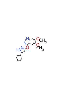 COc1cc2ncnc(Oc3cc(-c4ccccc4)[nH]n3)c2cc1OC